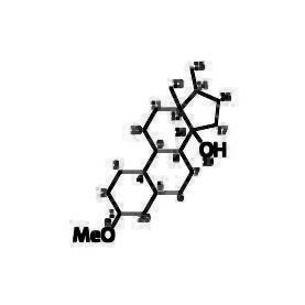 COC1CCC2C(CCC3C2CCC2(C)C(C)CCC32O)C1